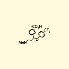 CC(=O)O.CNCCC(Oc1ccc(C(F)(F)F)cc1)c1ccccc1